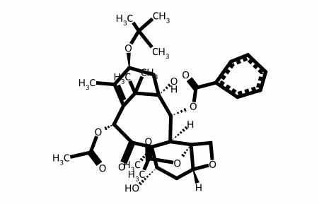 CC(=O)O[C@H]1C(=O)[C@]2(C)[C@@H](O)C[C@H]3OC[C@]3(OC(C)=O)[C@@H]2[C@@H](OC(=O)c2ccccc2)[C@]2(O)C[C@H](OC(C)(C)C)C(C)=C1C2(C)C